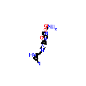 N#Cc1ccc2[nH]cc(CCCN3CCN(c4ccc(-n5ccc6nc(OCC(N)=O)ccc6c5=O)cc4)CC3)c2c1